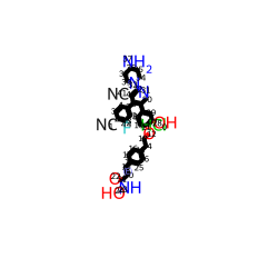 Cl.N#Cc1ccc(-c2c(-c3ccc(OCCc4ccc(/C=C/C(=O)NO)cc4)c(O)c3)cnc(N3CCC(N)CC3)c2C#N)cc1F